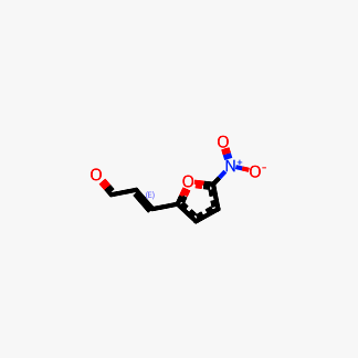 O=C/C=C/c1ccc([N+](=O)[O-])o1